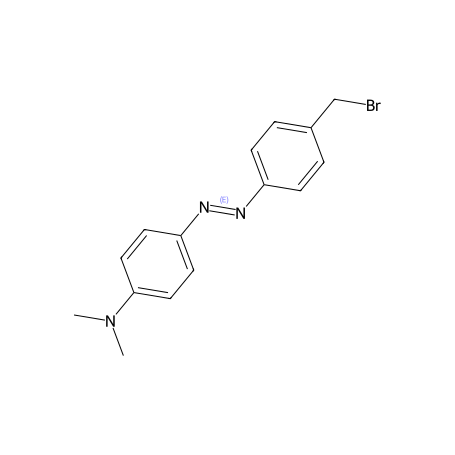 CN(C)c1ccc(/N=N/c2ccc(CBr)cc2)cc1